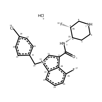 Cl.O=C(N[C@H]1CCNC[C@H]1F)c1cn(Cc2ccc(Cl)cc2)c2cccc(F)c12